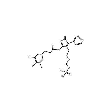 O=C(CCc1cc(F)c(F)c(F)c1)Nc1n[nH]c(-c2ccnnc2)c1CCOCOP(=O)(O)O